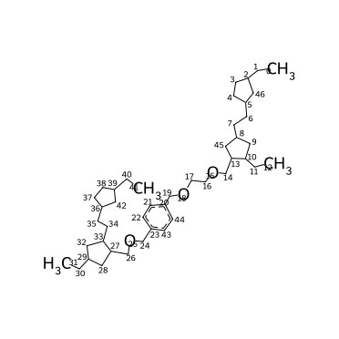 CCC1CCC(CCC2CC(CC)C(COCCOCc3ccc(COCC4CC(CC)CC4CCC4CCC(CC)C4)cc3)C2)C1